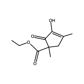 CCOC(=O)C1(C)CC(C)=C(O)C1=O